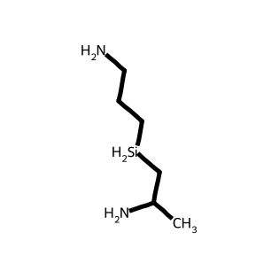 CC(N)C[SiH2]CCCN